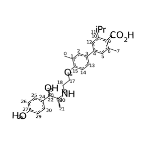 Cc1cc(-c2cc(C)c(C(=O)O)c(C(C)C)c2)ccc1OCCN[C@@H](C)[C@H](O)c1ccc(O)cc1